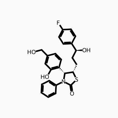 O=C1S[C@@H](CC[C@H](O)c2ccc(F)cc2)[C@@H](c2ccc(CO)cc2O)N1c1ccccc1